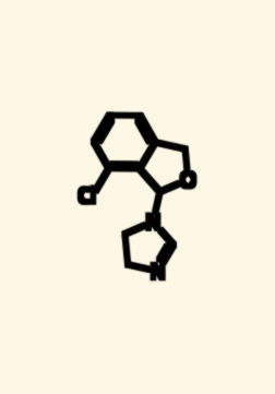 Clc1cccc2c1C(N1C=NCC1)OC2